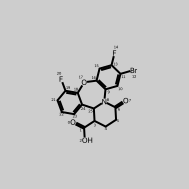 O=C(O)C1CCC(=O)N2c3cc(Br)c(F)cc3Oc3c(F)cccc3C12